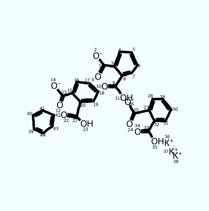 O=C([O-])c1ccccc1C(=O)O.O=C([O-])c1ccccc1C(=O)O.O=C([O-])c1ccccc1C(=O)O.[K+].[K+].[K+].c1ccccc1